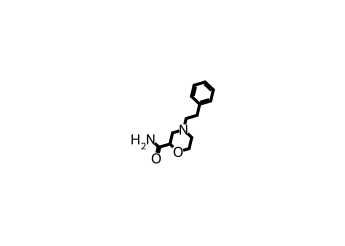 NC(=O)C1CN(CCc2ccccc2)CCO1